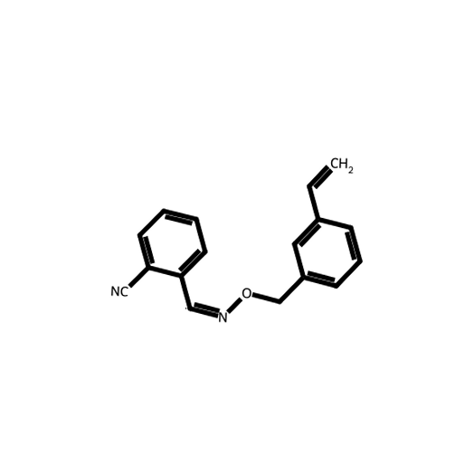 C=Cc1cccc(CO/N=[C]\c2ccccc2C#N)c1